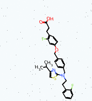 CC(C)c1csc(N(CCc2ccccc2F)Cc2ccc(COc3ccc(CCC(=O)O)c(F)c3)cc2)n1